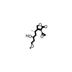 COCC[C@@H](O)C[C@H](C)C1=C([C@H]2CO2)C(=O)OC1